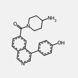 NC1CCN(C(=O)c2ccc3cncc(-c4ccc(O)cc4)c3c2)CC1